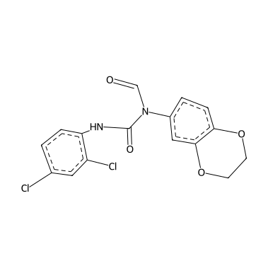 O=CN(C(=O)Nc1ccc(Cl)cc1Cl)c1ccc2c(c1)OCCO2